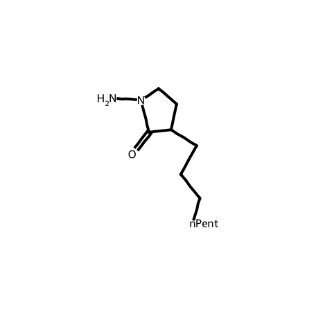 CCCCCCCCC1CCN(N)C1=O